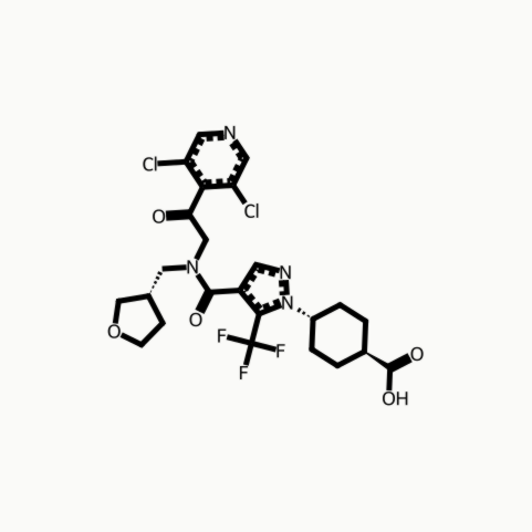 O=C(CN(C[C@@H]1CCOC1)C(=O)c1cnn([C@H]2CC[C@H](C(=O)O)CC2)c1C(F)(F)F)c1c(Cl)cncc1Cl